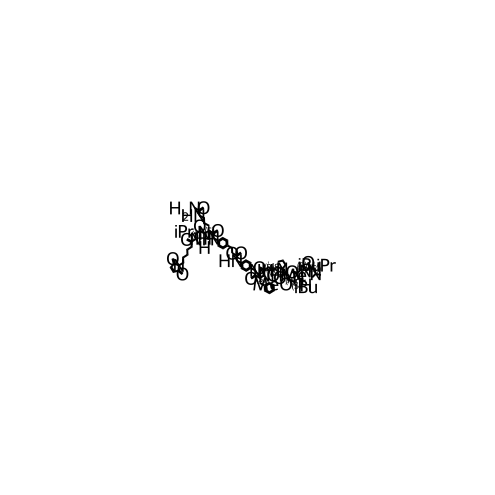 CC[C@@H](C)[C@H](NC(=O)[C@H](C(C)C)N(C)C)C(=O)N(C)[C@@H]([C@@H](C)CC)[C@@H](CC(=O)N1CCC[C@H]1[C@H](OC)[C@@H](C)C(=O)N[C@@H](Cc1ccccc1)C(=O)Nc1ccc(NC(=O)OCc2ccc(NC(=O)[C@H](CCCNC(N)=O)NC(=O)[C@@H](NC(=O)CCCCCN3C(=O)C=CC3=O)C(C)C)cc2)cc1)OC